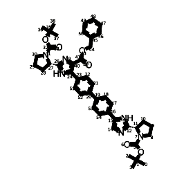 CC(C)(C)OC(=O)N1CCC[C@H]1c1ncc(-c2ccc(-c3ccc(-c4[nH]c([C@@H]5CCCN5C(=O)OC(C)(C)C)nc4C(=O)OCc4ccccc4)cc3)cc2)[nH]1